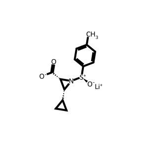 Cc1ccc([S@@+]([O-])N2[C@H](C3CC3)[C@@H]2C(=O)[O-])cc1.[Li+]